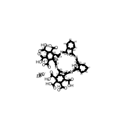 O=C(O)c1c(C(=O)O)c(C(=O)O)c2c(c1C(=O)O)-c1nc-2nc2[nH]c(nc3nc(nc4[nH]c(n1)c1ccccc41)-c1ccccc1-3)c1c(C(=O)O)c(C(=O)O)c(C(=O)O)c(C(=O)O)c21.[Fe].[K+].[OH-]